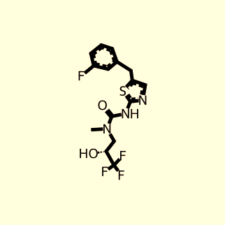 CN(C[C@@H](O)C(F)(F)F)C(=O)Nc1ncc(Cc2cccc(F)c2)s1